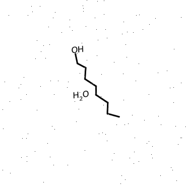 CCCCCCCCO.O